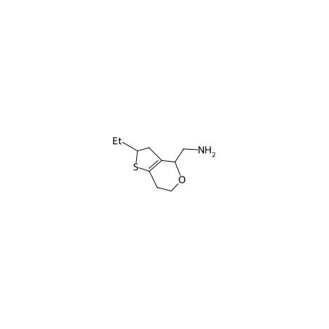 CCC1CC2=C(CCOC2CN)S1